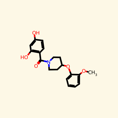 COc1ccccc1OC1CCN(C(=O)c2ccc(O)cc2O)CC1